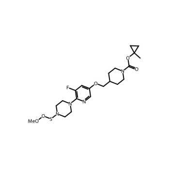 COOSN1CCN(c2ncc(OCC3CCN(C(=O)OC4(C)CC4)CC3)cc2F)CC1